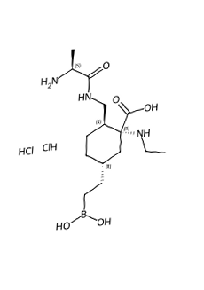 CCN[C@]1(C(=O)O)C[C@H](CCB(O)O)CC[C@H]1CNC(=O)[C@H](C)N.Cl.Cl